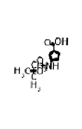 CC(C)(C)OC(=O)NC1=CC[C@H](C(=O)O)C1